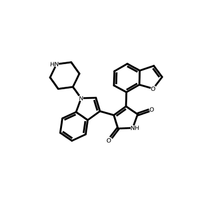 O=C1NC(=O)C(c2cccc3ccoc23)=C1c1cn(C2CCNCC2)c2ccccc12